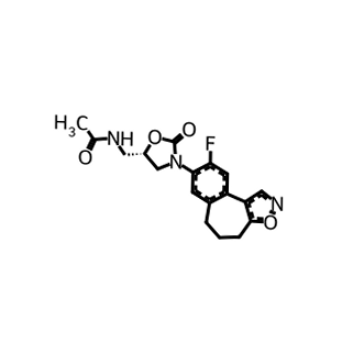 CC(=O)NC[C@H]1CN(c2cc3c(cc2F)-c2cnoc2CCC3)C(=O)O1